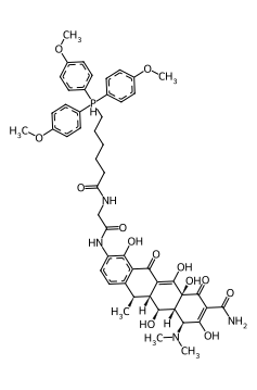 COc1ccc([PH](CCCCCC(=O)NCC(=O)Nc2ccc3c(c2O)C(=O)C2=C(O)[C@]4(O)C(=O)C(C(N)=O)=C(O)[C@@H](N(C)C)[C@@H]4[C@@H](O)[C@@H]2[C@H]3C)(c2ccc(OC)cc2)c2ccc(OC)cc2)cc1